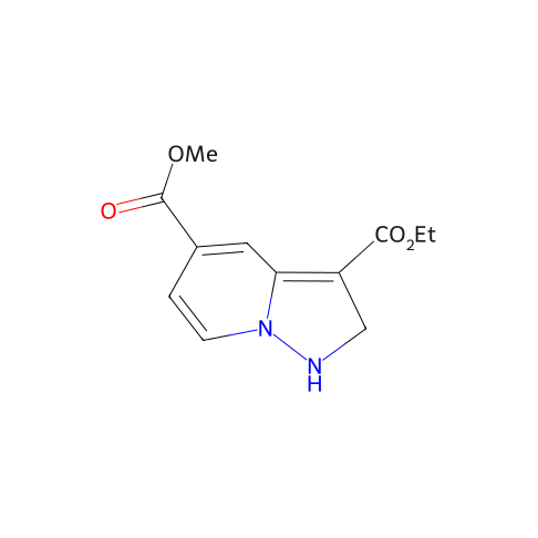 CCOC(=O)C1=C2C=C(C(=O)OC)C=CN2NC1